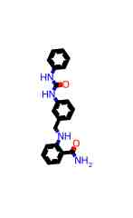 NC(=O)c1ccccc1NCc1cccc(NC(=O)Nc2ccccc2)c1